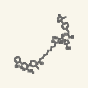 Cc1ncsc1-c1ccc(CNC(=O)[C@@H]2C[C@@H](O)CN2C(=O)C(NC(=O)CCCCCCCCC(=O)N2CCN(c3cc(-c4ccccc4O)nnc3N)CC2C)C(C)(C)C)cc1